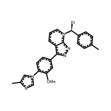 CC[C@@H](c1ccc(C)cc1)n1cccc2c(-c3ccc(-n4cnc(C)c4)c(OC)c3)nnc1-2